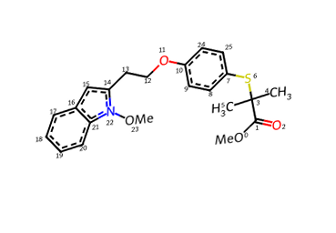 COC(=O)C(C)(C)Sc1ccc(OCCc2cc3ccccc3n2OC)cc1